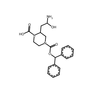 NC(O)CC1CN(C(=O)OC(c2ccccc2)c2ccccc2)CCN1C(=O)O